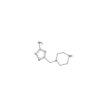 Nc1nnc(CN2CCNCC2)o1